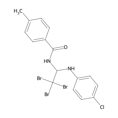 Cc1ccc(C(=O)NC(Nc2ccc(Cl)cc2)C(Br)(Br)Br)cc1